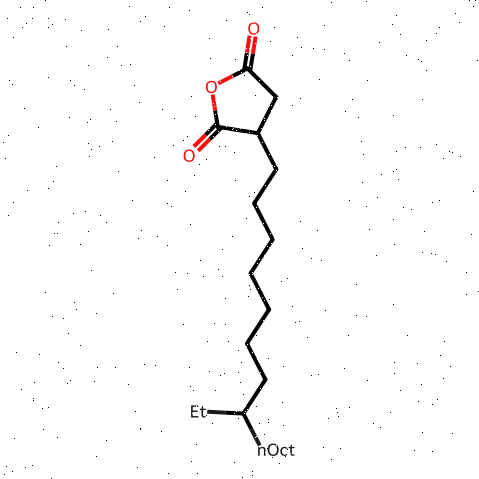 CCCCCCCCC(CC)CCCCCCCC1CC(=O)OC1=O